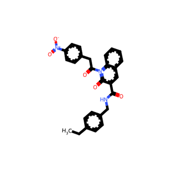 CCc1ccc(CNC(=O)c2cc3ccccc3n(C(=O)Cc3ccc([N+](=O)[O-])cc3)c2=O)cc1